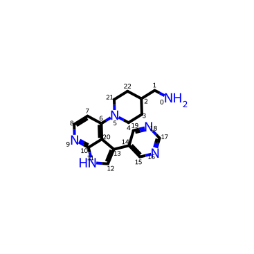 NCC1CCN(c2ccnc3[nH]cc(-c4cncnc4)c23)CC1